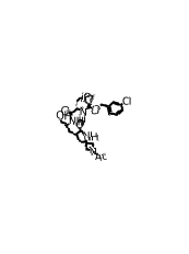 CC(=O)N1CC2(CC(CC(CO)NC(=O)[C@H](CC(C)C)NC(=O)OCc3cccc(Cl)c3)C(=O)N2)C1